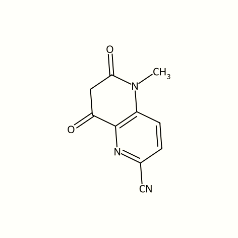 CN1C(=O)CC(=O)c2nc(C#N)ccc21